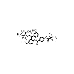 CC(C)N(CCC(c1ccccc1)c1cc(CO)ccc1OC(=O)c1ccc(OC(=O)C(C)(C)C)cc1)C(C)C.Cl